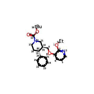 CCOc1ncccc1OC[C@@H]1CN(C(=O)OC(C)(C)C)CC[C@H]1c1ccccc1